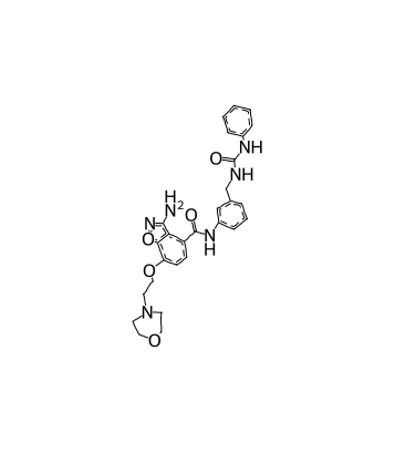 Nc1noc2c(OCCN3CCOCC3)ccc(C(=O)Nc3cccc(CNC(=O)Nc4ccccc4)c3)c12